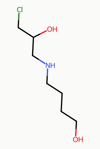 OCCCCNCC(O)CCl